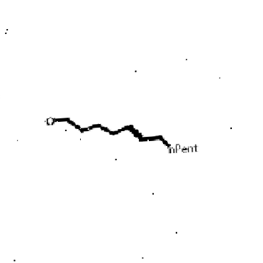 CCCCCC/C=C/CCCC[O]